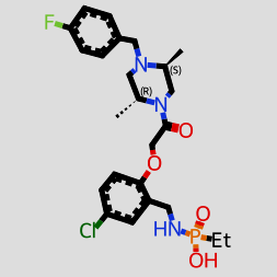 CCP(=O)(O)NCc1cc(Cl)ccc1OCC(=O)N1C[C@H](C)N(Cc2ccc(F)cc2)C[C@H]1C